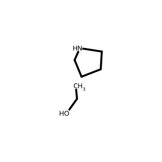 C1CCNC1.CCO